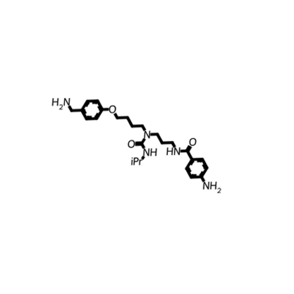 CC(C)NC(=O)N(CCCCOc1ccc(CN)cc1)CCCNC(=O)c1ccc(N)cc1